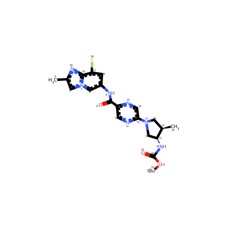 Cc1cn2cc(NC(=O)c3cnc(N4C[C@@H](C)[C@H](NC(=O)OC(C)(C)C)C4)cn3)cc(F)c2n1